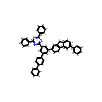 c1ccc(-c2ccc(-c3cc(-c4ccc5c(c4)Cc4ccc(-c6ccccc6)cc4-5)cc(-c4nc(-c5ccccc5)nc(-c5ccccc5)n4)c3)cc2)cc1